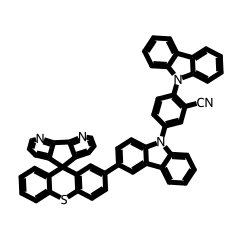 N#Cc1cc(-n2c3ccccc3c3cc(-c4ccc5c(c4)C4(c6ccccc6S5)c5cccnc5-c5ncccc54)ccc32)ccc1-n1c2ccccc2c2ccccc21